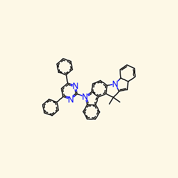 CC1(C)C2=CC3C=CC=CC3N2c2ccc3c(c21)c1ccccc1n3-c1nc(-c2ccccc2)cc(-c2ccccc2)n1